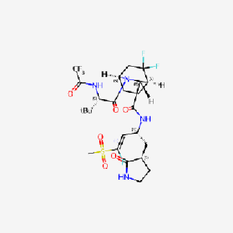 CC(C)(C)[C@H](NC(=O)C(F)(F)F)C(=O)N1[C@H]2CC[C@@H]([C@@H]1C(=O)N[C@@H](/C=C(\F)S(C)(=O)=O)C[C@H]1CCNC1=O)C(F)(F)C2